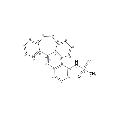 CS(=O)(=O)Nc1cccc(/C=C2\c3ccccc3CCc3cccnc32)c1